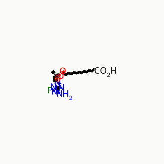 C#C[C@@]1(COC(=O)CCCCCCCCCCCCC(=O)O)CC[C@H](n2cnc3c(N)nc(F)nc32)O1